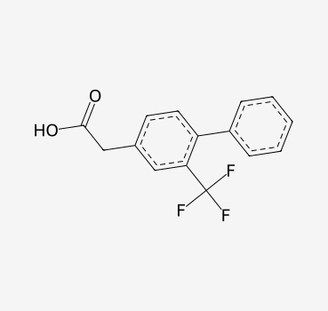 O=C(O)Cc1ccc(-c2ccccc2)c(C(F)(F)F)c1